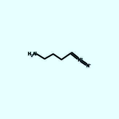 [N-]=[N+]=CCC[CH2][AlH2]